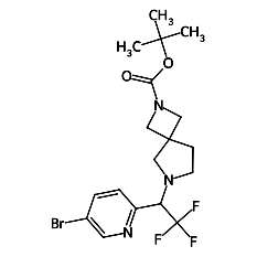 CC(C)(C)OC(=O)N1CC2(CCN(C(c3ccc(Br)cn3)C(F)(F)F)C2)C1